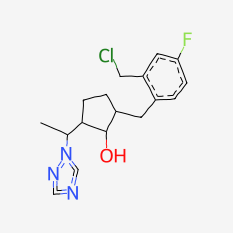 CC(C1CCC(Cc2ccc(F)cc2CCl)C1O)n1cncn1